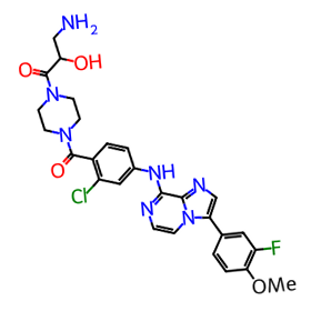 COc1ccc(-c2cnc3c(Nc4ccc(C(=O)N5CCN(C(=O)C(O)CN)CC5)c(Cl)c4)nccn23)cc1F